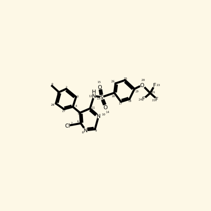 Cc1ccc(-c2c(Cl)ncnc2NS(=O)(=O)c2ccc(OC(F)(F)F)cc2)cc1